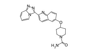 NC(=O)N1CCC(Oc2ccc3nc(-c4nnc5ccccn45)ccc3c2)CC1